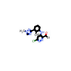 CCC(=O)c1nnc(Cl)cc1Nc1cccc(-c2ncn(C)n2)c1OC